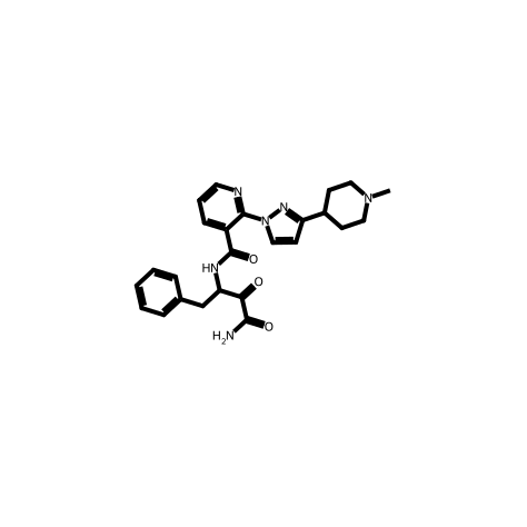 CN1CCC(c2ccn(-c3ncccc3C(=O)NC(Cc3ccccc3)C(=O)C(N)=O)n2)CC1